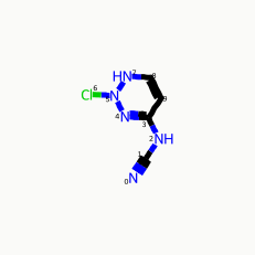 N#CNC1=NN(Cl)N[C]=C1